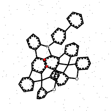 c1ccc(-c2ccc(N(c3ccccc3-c3ccc4c(c3)-c3ccccc3C43c4ccccc4Oc4ccccc43)c3cccc4c3-c3ccccc3C43c4ccccc4Oc4ccccc43)cc2)cc1